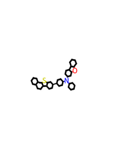 c1ccc(N(c2ccc(-c3ccc4c(c3)sc3c5ccccc5ccc43)cc2)c2ccc3c(c2)oc2ccccc23)cc1